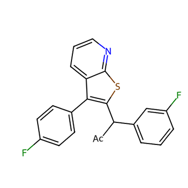 CC(=O)C(c1cccc(F)c1)c1sc2ncccc2c1-c1ccc(F)cc1